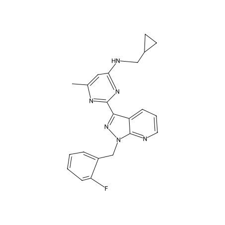 Cc1cc(NCC2CC2)nc(-c2nn(Cc3ccccc3F)c3ncccc23)n1